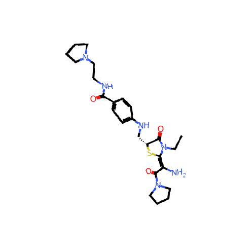 CCN1C(=O)[C@@H](CNc2ccc(C(=O)NCCN3CCCC3)cc2)S/C1=C(/N)C(=O)N1CCCC1